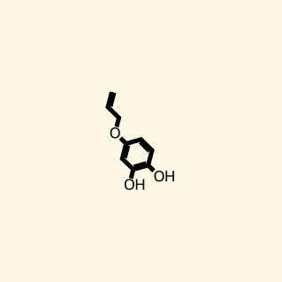 C=CCOc1ccc(O)c(O)c1